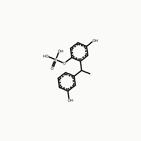 CC(c1cccc(O)c1)c1cc(O)ccc1OP(=O)(O)O